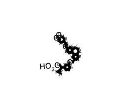 O=C(O)CC(c1cccc(OCc2ccc3c(c2)-c2ccc(OCC4CCS(=O)(=O)CC4)cc2CCC3)c1)C1CC1